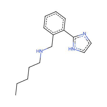 CCCCCNCc1ccccc1-c1ncc[nH]1